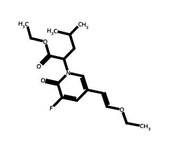 CCO/C=C/c1cc(F)c(=O)n(C(CC(C)C)C(=O)OCC)c1